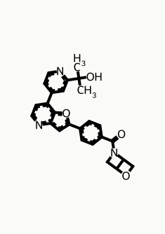 CC(C)(O)c1cc(-c2ccnc3cc(-c4ccc(C(=O)N5CC6OCC65)cc4)oc23)ccn1